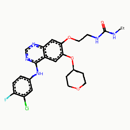 CCNC(=O)NCCOc1cc2ncnc(Nc3ccc(F)c(Cl)c3)c2cc1OC1CCOCC1